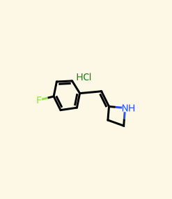 Cl.Fc1ccc(C=C2CCN2)cc1